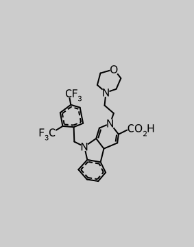 O=C(O)C1=CC2C(=CN1CCN1CCOCC1)N(Cc1ccc(C(F)(F)F)cc1C(F)(F)F)c1ccccc12